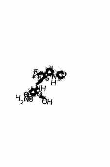 NS(=O)(=O)c1ccc(NCC#Cc2sc3c(NC4CCOCC4)cccc3c2CC(F)(F)F)c(OCCO)c1